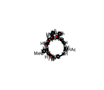 COc1ccc(C[C@@H]2NC(=O)[C@H]([C@@H](C)O)NC(=O)[C@@H]3C[C@H](F)CN3C(=O)[C@H](Cc3c[nH]c4ccc(F)cc34)NC(=O)[C@H](Cc3c[nH]c4ccc(F)cc34)NC(=O)[C@@H](C)NC(=O)CNC(=O)[C@@H](NC(C)=O)CCNCc3ccc(cc3)C[C@@H](C(N)=O)NC(=O)[C@]3(C)CCCN3C2=O)cc1